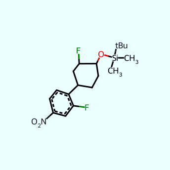 CC(C)(C)[Si](C)(C)OC1CCC(c2ccc([N+](=O)[O-])cc2F)CC1F